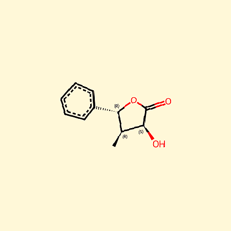 C[C@@H]1[C@H](O)C(=O)O[C@H]1c1ccccc1